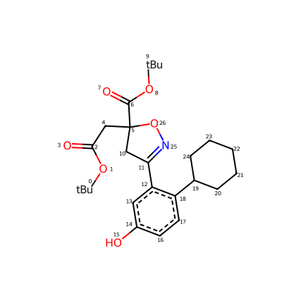 CC(C)(C)OC(=O)CC1(C(=O)OC(C)(C)C)CC(c2cc(O)ccc2C2CCCCC2)=NO1